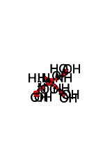 NC12CC3(CCC(=O)NCCc4ccc(O)c(O)c4)CC4(CCC(=O)NCCc5ccc(O)c(O)c5)CC(CCC(=O)NCCc5ccc(O)c(O)c5)(C1)C4(C2)C3